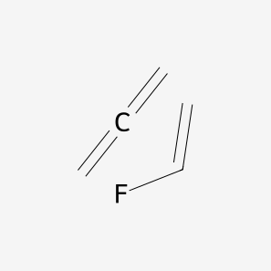 C=C=C.C=CF